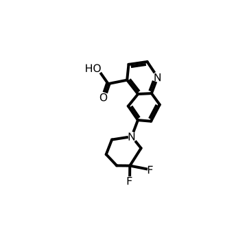 O=C(O)c1ccnc2ccc(N3CCCC(F)(F)C3)cc12